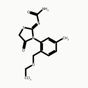 Cc1ccc(COCC(Cl)(Cl)Cl)c(N2C(=O)CSC2=NC(N)=O)c1